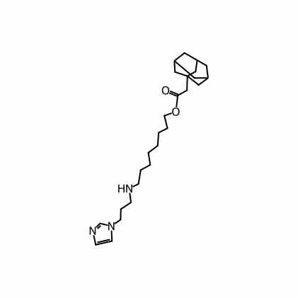 O=C(CC12CC3CC(CC(C3)C1)C2)OCCCCCCCCNCCCn1ccnc1